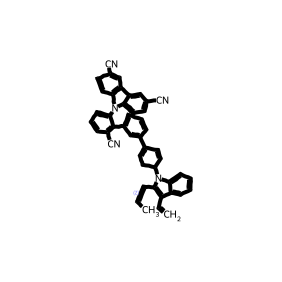 C=Cc1c(/C=C\C)n(C2C=CC(c3cccc(-c4c(C#N)cccc4-n4c5ccc(C#N)cc5c5cc(C#N)ccc54)c3)=CC2)c2ccccc12